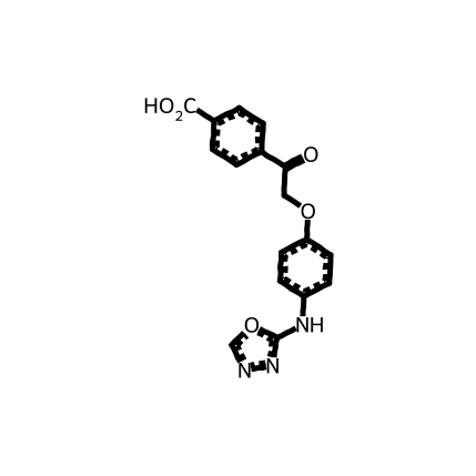 O=C(O)c1ccc(C(=O)COc2ccc(Nc3nnco3)cc2)cc1